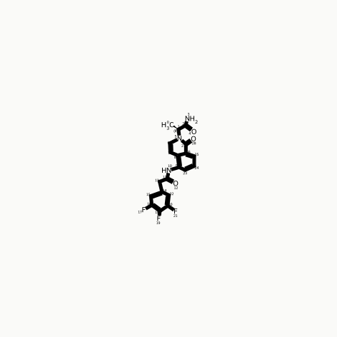 C[C@H](C(N)=O)n1ccc2c(NC(=O)Cc3cc(F)c(F)c(F)c3)cccc2c1=O